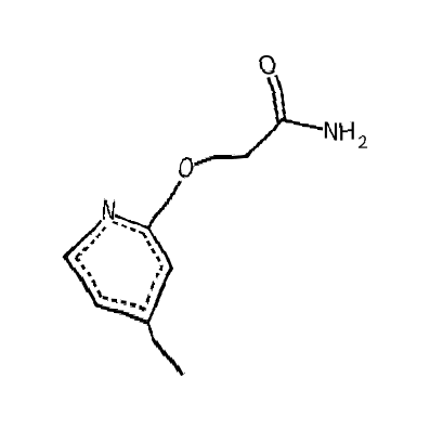 Cc1ccnc(OCC(N)=O)c1